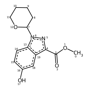 COC(=O)c1nn(C2CCCCO2)c2ccc(O)cc12